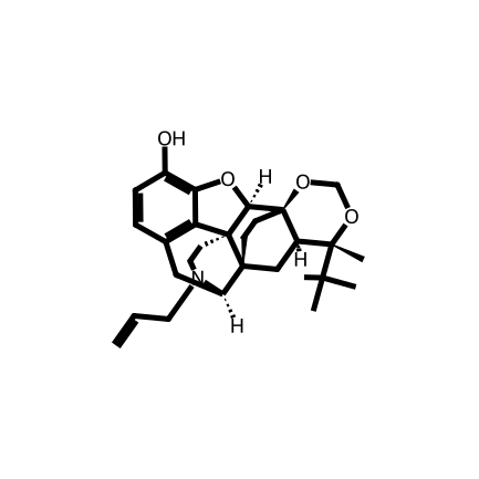 C=CCN1CC[C@]23c4c5ccc(O)c4O[C@H]2[C@@]24CC[C@@]3(C[C@@H]2[C@@](C)(C(C)(C)C)OCO4)[C@H]1C5